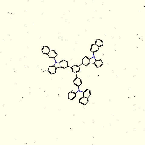 c1ccc(N(c2ccc(-c3cc(-c4ccc5c(c4)c4ccccc4n5-c4ccc5ccccc5c4)cc(-c4ccc5c(c4)c4ccccc4n5-c4ccc5ccccc5c4)c3)cc2)c2cccc3ccccc23)cc1